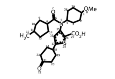 COC1CCC(N(C(=O)C2CCC(C)CC2)c2cc(C3CCC(=O)CC3)sc2C(=O)O)CC1